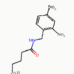 CCOC(=O)CCCC(=O)NCc1ccc([N+](=O)[O-])cc1[N+](=O)[O-]